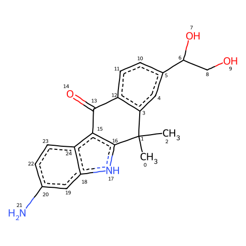 CC1(C)c2cc(C(O)CO)ccc2C(=O)c2c1[nH]c1cc(N)ccc21